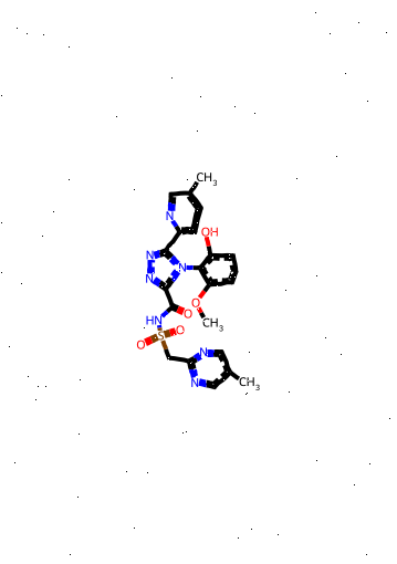 COc1cccc(O)c1-n1c(C(=O)NS(=O)(=O)Cc2ncc(C)cn2)nnc1C1=C=C=C(C)C=N1